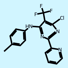 Cc1ccc(Nc2nc(-c3ccccn3)nc(Cl)c2C(F)(F)F)cc1